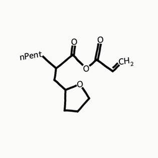 C=CC(=O)OC(=O)C(CCCCC)CC1CCCO1